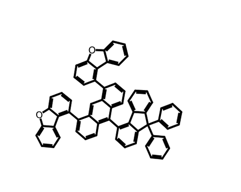 c1ccc(C2(c3ccccc3)c3ccccc3-c3c(-c4c5cccc(-c6cccc7oc8ccccc8c67)c5cc5c(-c6cccc7oc8ccccc8c67)cccc45)cccc32)cc1